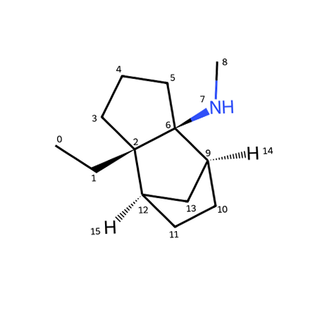 CC[C@@]12CCC[C@]1(NC)[C@H]1CC[C@@H]2C1